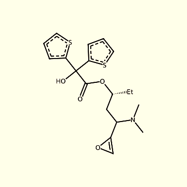 CC[C@H](CC(C1=CO1)N(C)C)OC(=O)C(O)(c1cccs1)c1cccs1